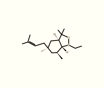 CCN1OC(C)(C)[C@@H]2C[C@](C)(CC=C(C)C)C[C@H](C)[C@H]21